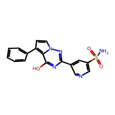 NS(=O)(=O)c1cncc(-c2nc(O)c3c(-c4ccccc4)ccn3n2)c1